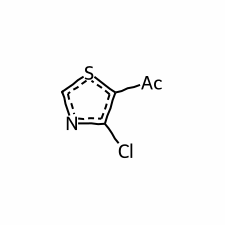 CC(=O)c1scnc1Cl